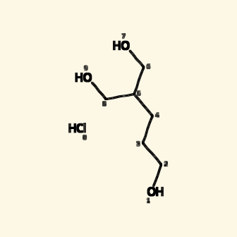 Cl.OCCCC(CO)CO